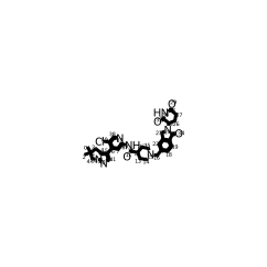 CC1(C)Cc2c(-c3cc(NC(=O)C4CCN(Cc5ccc6c(c5)CN(C5CCC(=O)NC5=O)C6=O)CC4)ncc3Cl)cnn2C1